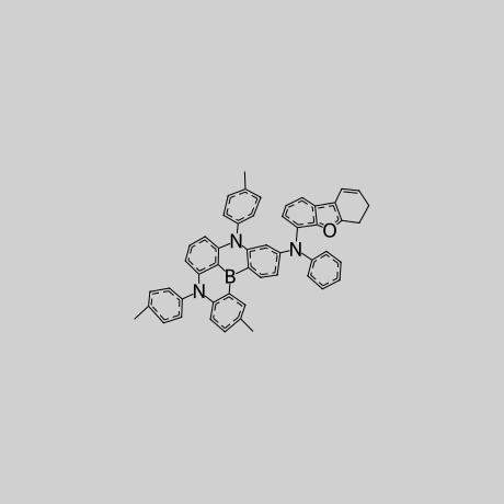 Cc1ccc(N2c3ccc(C)cc3B3c4ccc(N(c5ccccc5)c5cccc6c7c(oc56)CCC=C7)cc4N(c4ccc(C)cc4)c4cccc2c43)cc1